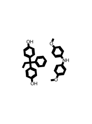 CCC(c1ccccc1)(c1ccc(O)cc1)c1ccc(O)cc1.COc1ccc(Nc2ccc(OC)cc2)cc1